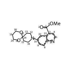 COC(=O)c1ccnc2ccc(N3CCC4(CC3)OCCCO4)cc12